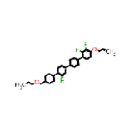 C=CCOc1ccc(-c2ccc(-c3ccc(C4CCC(COCCC)CC4)c(F)c3)cc2)c(F)c1F